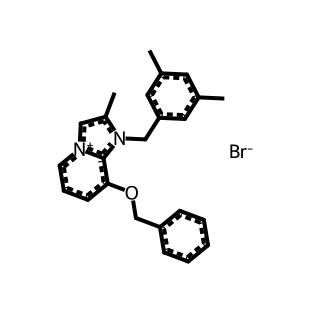 Cc1cc(C)cc(Cn2c(C)c[n+]3cccc(OCc4ccccc4)c23)c1.[Br-]